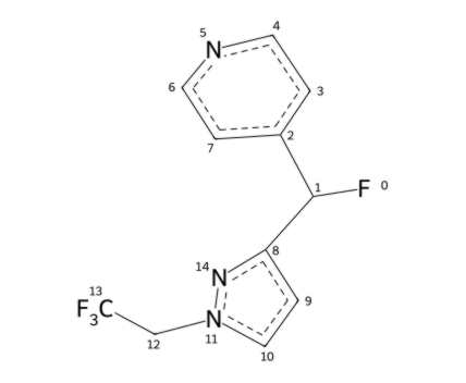 FC(c1ccncc1)c1ccn(CC(F)(F)F)n1